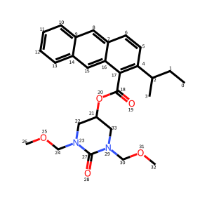 CCC(C)c1ccc2cc3ccccc3cc2c1C(=O)OC1CN(COC)C(=O)N(COC)C1